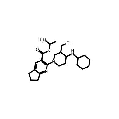 CC(N)NC(=O)c1cc2c(nc1N1CCC(NC3CCCCC3)C(CO)C1)CCC2